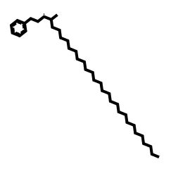 CCCCCCCCCCCCCCCCCCCCCCCCCCC(C)[CH]CCc1ccccc1